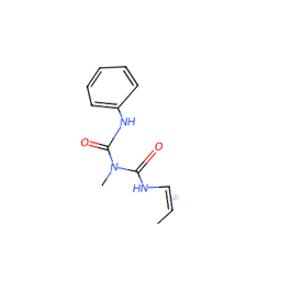 C/C=C\NC(=O)N(C)C(=O)Nc1ccccc1